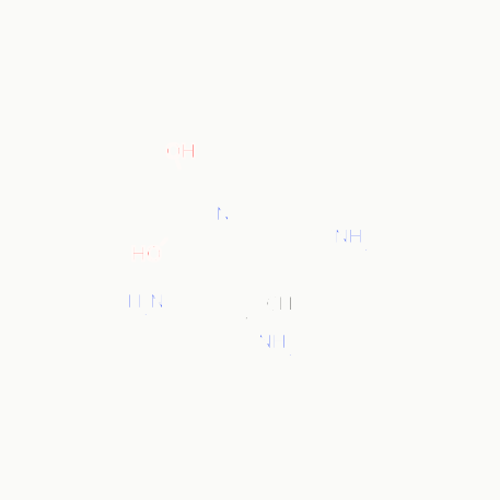 CC1(N)C=CC(N)=CC1.Nc1ccc(N(CCO)CCO)cc1